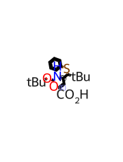 CC(C)(C)OC(=O)N[C@H](/C=C/C(=O)O)C(Sc1ccccc1)C(C)(C)C